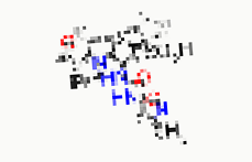 Cc1cc(NC(=O)Nc2cc(C3(C(=O)O)CCCC3)ccc2N(CC(C)C)C2CCOCC2)on1